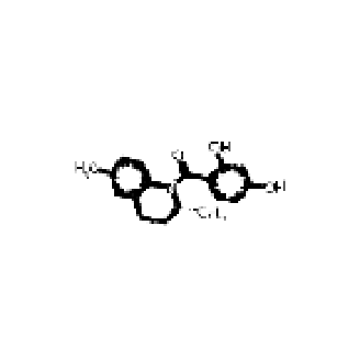 Cc1ccc2c(c1)CC[C@@H](C)N2C(=O)c1ccc(O)cc1O